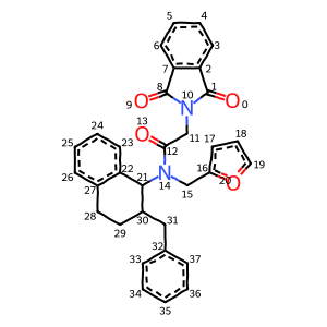 O=C1c2ccccc2C(=O)N1CC(=O)N(Cc1ccco1)C1c2ccccc2CCC1Cc1ccccc1